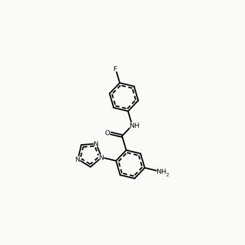 Nc1ccc(-n2cncn2)c(C(=O)Nc2ccc(F)cc2)c1